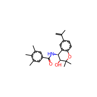 C=C(C)c1ccc2c(c1)[C@H](NC(=O)c1cc(C)c(C)c(C)c1)[C@H](O)C(C)(C)O2